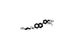 CCC/C=C/COC[C@@H]1CCc2cc([C@H]3CC[C@](N)(CO)C3)ccc2C1